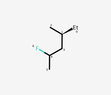 CC[C@H](C)CC(C)F